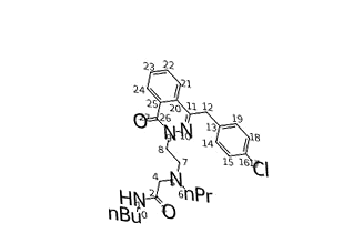 CCCCNC(=O)CN(CCC)CCn1nc(Cc2ccc(Cl)cc2)c2ccccc2c1=O